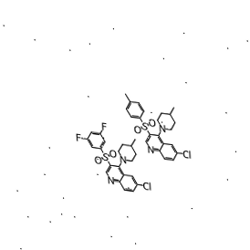 CC1CCN(c2c(S(=O)(=O)c3cc(F)cc(F)c3)cnc3ccc(Cl)cc23)CC1.Cc1ccc(S(=O)(=O)c2cnc3ccc(Cl)cc3c2N2CCC(C)CC2)cc1